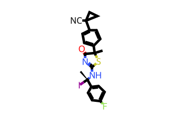 CC1(c2ccc(C3(C#N)CC3)cc2)SC(N[C@@](C)(I)c2ccc(F)cc2)=NC1=O